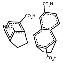 O=C(O)c1ccc2c(C(=O)O)c1CC2.O=C(O)c1ccc2c3c(C(=O)O)c(cc2c1)CC3